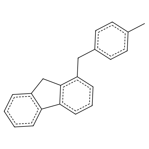 Cc1ccc(Cc2cccc3c2Cc2ccccc2-3)cc1